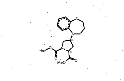 COC(=O)[C@@H]1C[C@H](N2CCCSc3ccccc32)CN1C(=O)OC(C)(C)C